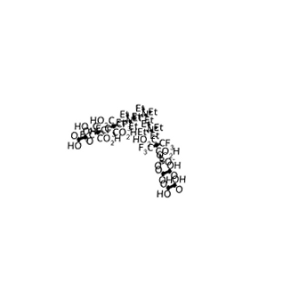 CC[N+](CC)(CC)CC.CC[N+](CC)(CC)CC.CC[N+](CC)(CC)CC.O=C(O)C(=O)O.O=C(O)C(=O)O.O=C(O)C(=O)O.O=C(O)C(C(=O)O)(C(F)(F)F)C(F)(F)F.O=C(O)C(C(=O)O)(C(F)(F)F)C(F)(F)F.O=C(O)C(C(=O)O)(C(F)(F)F)C(F)(F)F.[O-]B([O-])[O-]